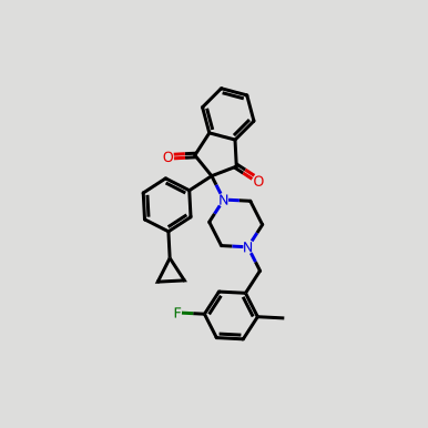 Cc1ccc(F)cc1CN1CCN(C2(c3cccc(C4CC4)c3)C(=O)c3ccccc3C2=O)CC1